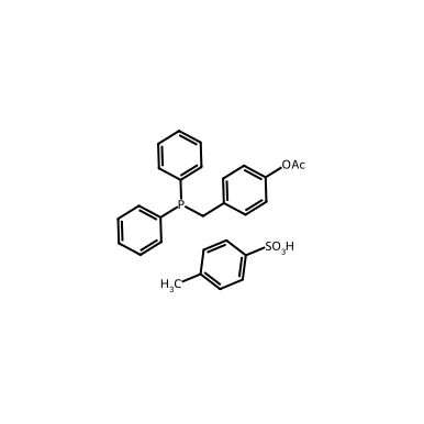 CC(=O)Oc1ccc(CP(c2ccccc2)c2ccccc2)cc1.Cc1ccc(S(=O)(=O)O)cc1